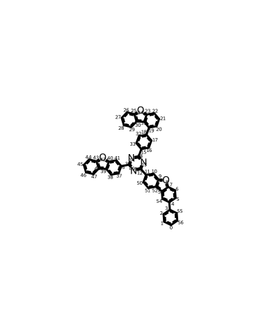 c1ccc(-c2ccc3oc4cc(-c5nc(-c6ccc(-c7cccc8oc9ccccc9c78)cc6)nc(-c6ccc7c(c6)oc6ccccc67)n5)ccc4c3c2)cc1